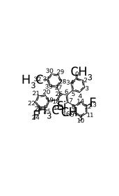 Cc1cccc(C2=C(c3cccc(F)c3)[Si](C)(C)C(c3cccc(F)c3)=C2c2cccc(C)c2)c1